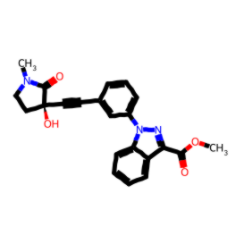 COC(=O)c1nn(-c2cccc(C#C[C@]3(O)CCN(C)C3=O)c2)c2ccccc12